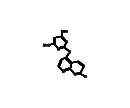 COc1cc(OC)nc(Sc2ccnc3cc(Cl)ccc23)n1